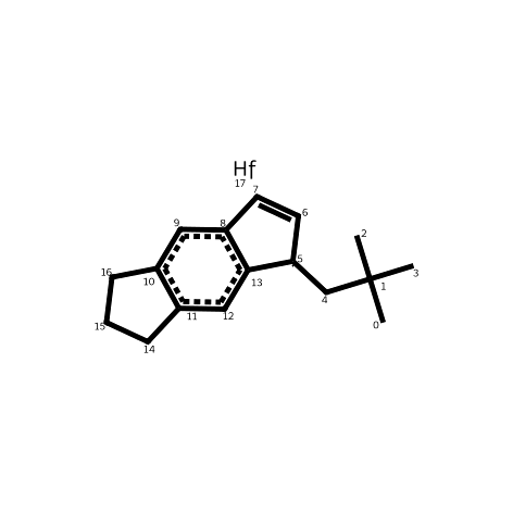 CC(C)(C)C[C]1C=Cc2cc3c(cc21)CCC3.[Hf]